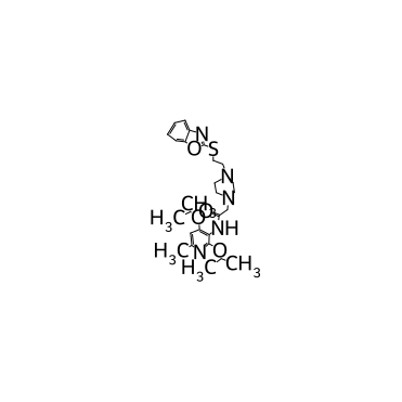 Cc1cc(OC(C)C)c(NC(=O)CN2CCN(CCSc3nc4ccccc4o3)CC2)c(OC(C)C)n1